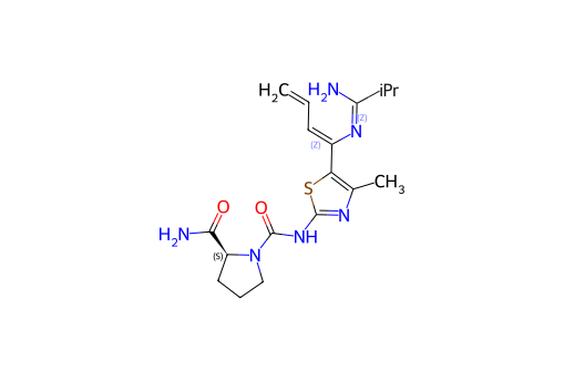 C=C/C=C(\N=C(/N)C(C)C)c1sc(NC(=O)N2CCC[C@H]2C(N)=O)nc1C